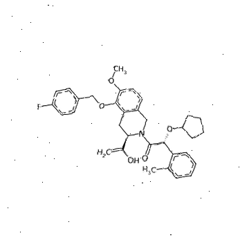 C=C(O)[C@H]1Cc2c(ccc(OC)c2OCc2ccc(F)cc2)CN1C(=O)[C@H](OC1CCCC1)c1ccccc1C